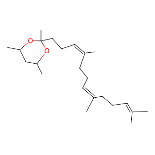 CC(C)=CCCC(C)=CCCC(C)=CCCC1(C)OC(C)CC(C)O1